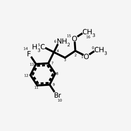 COC(CC(C)(N)c1cc(Br)ccc1F)OC